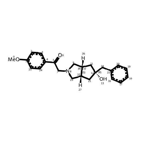 COc1ccc(C(=O)CN2C[C@@H]3C[C@@](O)(Cc4ccccc4)C[C@@H]3C2)cc1